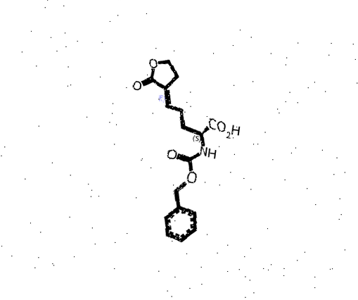 O=C(N[C@@H](CC/C=C1\CCOC1=O)C(=O)O)OCc1ccccc1